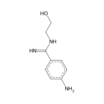 N=C(NCCO)c1ccc(N)cc1